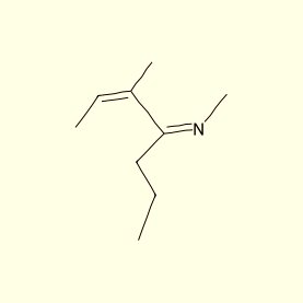 C/C=C(C)\C(CCC)=N/C